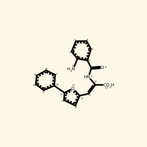 Nc1ccccc1C(=O)N/C(=C\c1ccc(-c2ccccc2)o1)C(=O)O